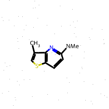 CNc1ccc2scc(C)c2n1